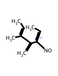 C=C(C(C)=CC)/C(=C\C)N=O